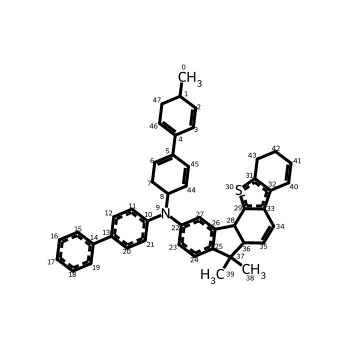 CC1C=CC(C2=CCC(N(c3ccc(-c4ccccc4)cc3)c3ccc4c(c3)C3c5sc6c(c5C=CC3C4(C)C)C=CCC6)C=C2)=CC1